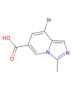 Cc1ncc2c(Br)cc(C(=O)O)cn12